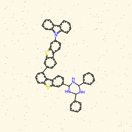 c1ccc(C2NC(c3ccccc3)NC(c3ccc4c(c3)sc3cccc(-c5ccc6c(c5)sc5cc(-n7c8ccccc8c8ccccc87)ccc56)c34)N2)cc1